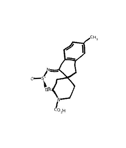 Cc1ccc2c(c1)CC1(CCN(C(=O)O)CC1)/C2=N\[S@+]([O-])C(C)(C)C